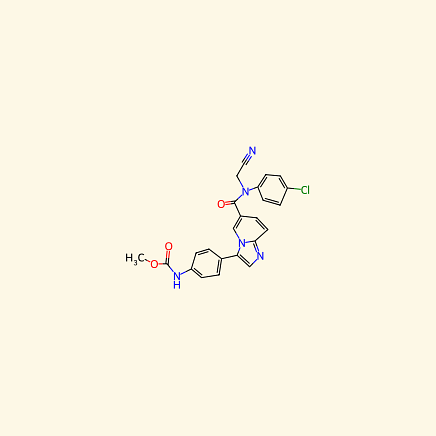 COC(=O)Nc1ccc(-c2cnc3ccc(C(=O)N(CC#N)c4ccc(Cl)cc4)cn23)cc1